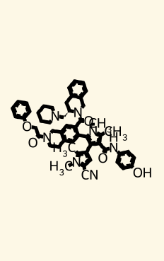 Cc1c(-c2c(C(=O)Nc3ccc(O)cc3)c(C)n(C)c2-c2cc3c(cc2C(=O)N2Cc4ccccc4C[C@H]2CN2CCCCC2)CN(C(=O)COc2ccccc2)CC3)cc(C#N)n1C